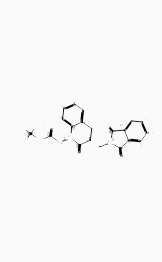 CC(C)(C)OC(=O)NN1C(=O)[C@H](CN2C(=O)c3ccccc3C2=O)Cc2ccccc21